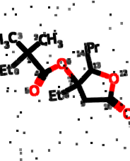 CCC(C)(C)C(=O)OC1(CC)CC(=O)OC1C(C)C